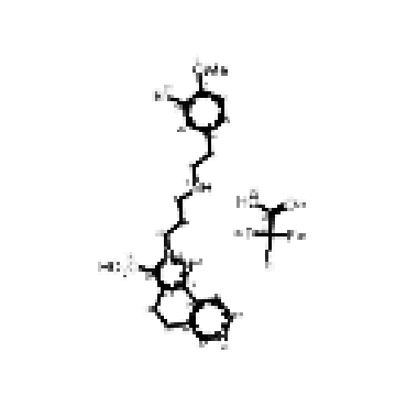 COc1ccc(CCNCCCn2nc3c(c2C(=O)O)CCc2cnccc2-3)cc1Br.O=C(O)C(F)(F)F